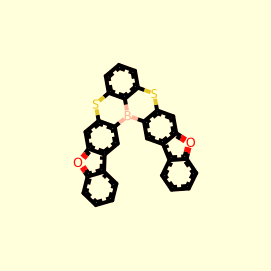 c1cc2c3c(c1)Sc1cc4oc5ccccc5c4cc1B3c1cc3c(cc1S2)oc1ccccc13